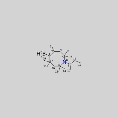 BC1C(C)CC(C)(C)N(C(C)CC)C(C)(C)CC1(C)C